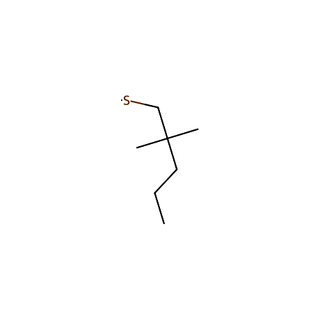 CCCC(C)(C)C[S]